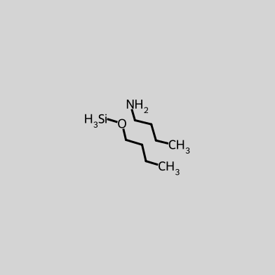 CCCCN.CCCCO[SiH3]